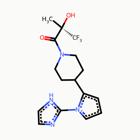 C[C@@](O)(C(=O)N1CCC(c2cccn2-c2ncc[nH]2)CC1)C(F)(F)F